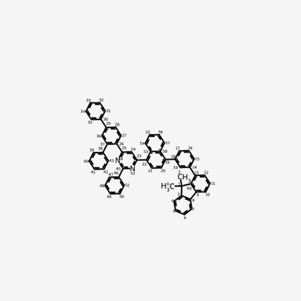 CC1(C)c2ccccc2-c2cccc(-c3cccc(-c4ccc(-c5cc(-c6ccc(-c7ccccc7)cc6-c6ccccc6)nc(-c6ccccc6)n5)c5ccccc45)c3)c21